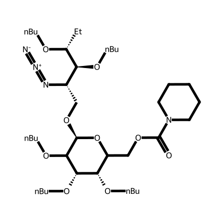 CCCCOC1[C@@H](OC[C@H](N=[N+]=[N-])[C@H](OCCCC)[C@@H](CC)OCCCC)OC(COC(=O)N2CCCCC2)[C@H](OCCCC)[C@@H]1OCCCC